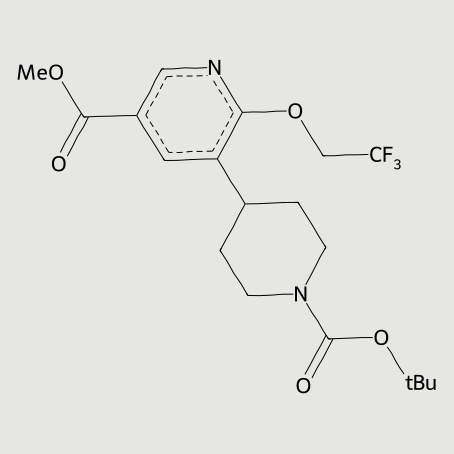 COC(=O)c1cnc(OCC(F)(F)F)c(C2CCN(C(=O)OC(C)(C)C)CC2)c1